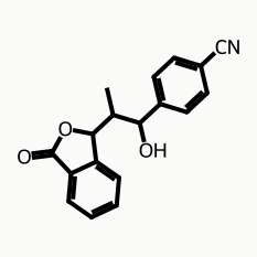 CC(C(O)c1ccc(C#N)cc1)C1OC(=O)c2ccccc21